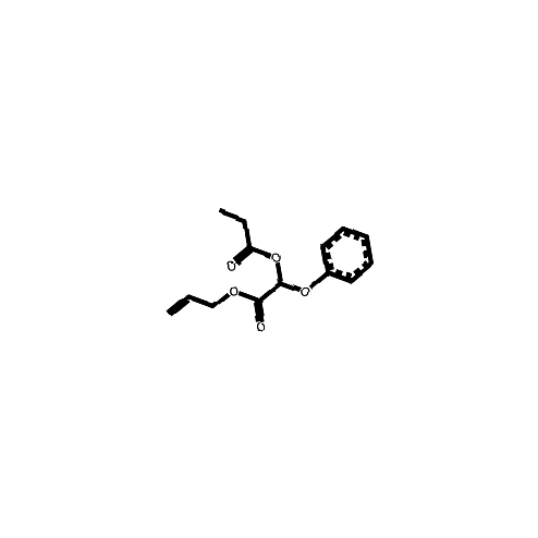 C=CCOC(=O)C(OC(=O)CC)Oc1ccccc1